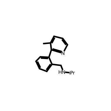 Cc1cccnc1-c1ccccc1CNC(C)C